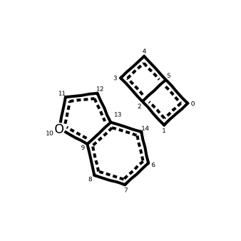 c1cc2ccc1-2.c1ccc2occc2c1